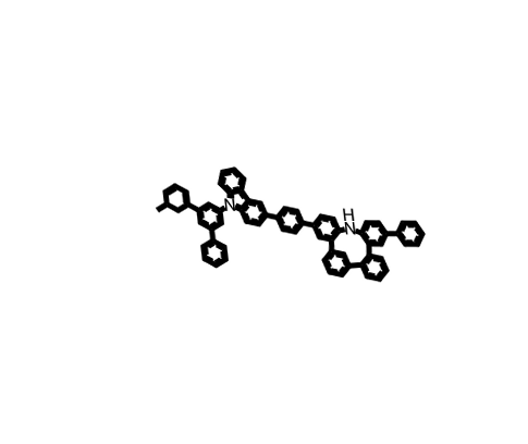 CC1C=CC=C(c2cc(-c3ccccc3)cc(-n3c4ccccc4c4cc(-c5ccc(-c6ccc7c(c6)-c6cccc(c6)-c6ccccc6-c6cc(-c8ccccc8)ccc6N7)cc5)ccc43)c2)C1